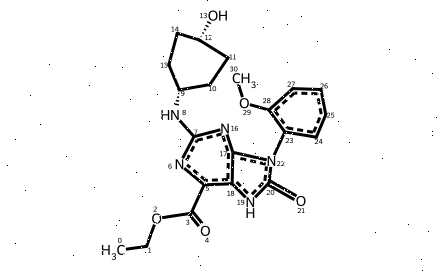 CCOC(=O)c1nc(N[C@H]2CC[C@@H](O)CC2)nc2c1[nH]c(=O)n2-c1ccccc1OC